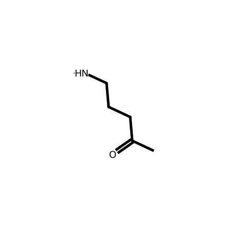 CC(=O)CCC[NH]